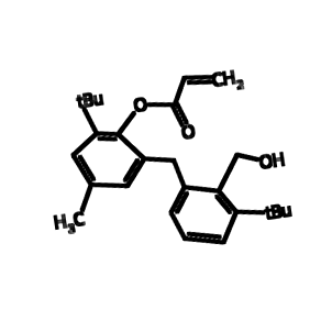 C=CC(=O)Oc1c(Cc2cccc(C(C)(C)C)c2CO)cc(C)cc1C(C)(C)C